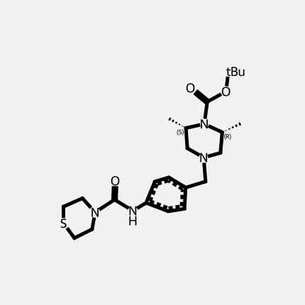 C[C@@H]1CN(Cc2ccc(NC(=O)N3CCSCC3)cc2)C[C@H](C)N1C(=O)OC(C)(C)C